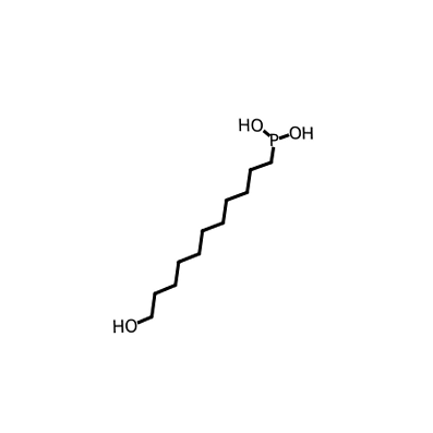 OCCCCCCCCCCCP(O)O